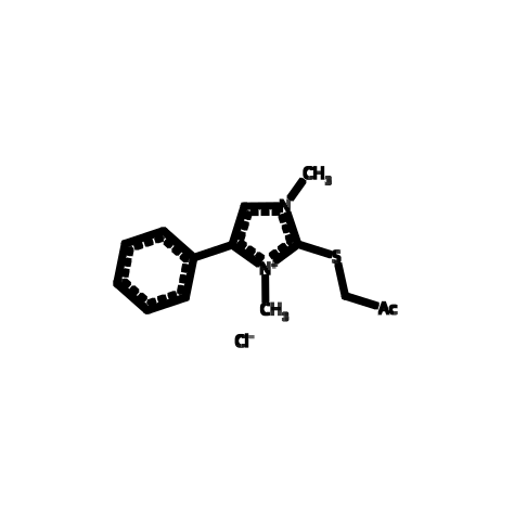 CC(=O)CSc1n(C)cc(-c2ccccc2)[n+]1C.[Cl-]